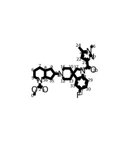 COC(=O)N1CCCC2CC(N3CCC4(CC3)CN(C(=O)c3cc(C)n(C)n3)c3ccc(F)cc34)CC21